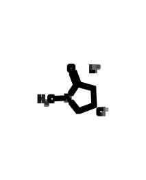 CN1CCCC1=O.[Cl-].[Li+]